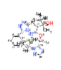 [2H]C([2H])(Oc1nn2c(-c3ccccc3F)nnc2cc1C(C)(O)C([2H])([2H])[2H])c1ncnn1C([2H])([2H])C